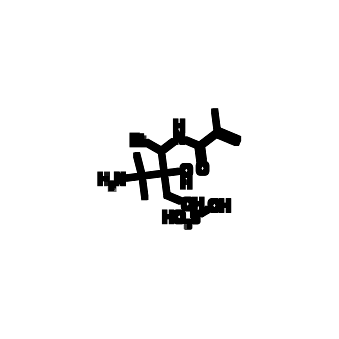 C=C(C)C(=O)NC(CC)C(O)(CO)C(C)(C)N.O=S(=O)(O)O